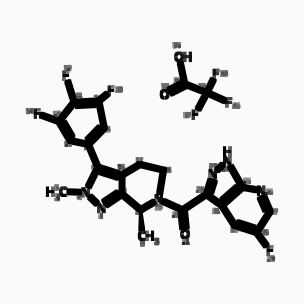 C[C@H]1c2nn(C)c(-c3cc(F)c(F)c(F)c3)c2CCN1C(=O)c1n[nH]c2ncc(F)cc12.O=C(O)C(F)(F)F